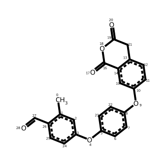 Cc1cc(Oc2ccc(Oc3ccc4c(c3)C(=O)OC(=O)C4)cc2)ccc1C=O